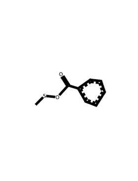 CSOC(=O)c1ccccc1